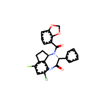 NC(=O)[C@@H](c1ccccc1)N(C(=O)c1cccc2c1OCO2)[C@@H]1CCc2c(F)cc(Cl)cc21